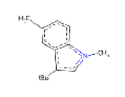 Cc1ccc2c(c1)c(C(C)(C)C)cn2C